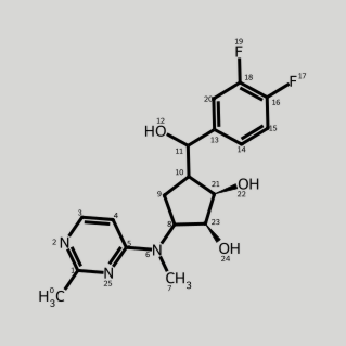 Cc1nccc(N(C)C2CC(C(O)c3ccc(F)c(F)c3)[C@@H](O)[C@H]2O)n1